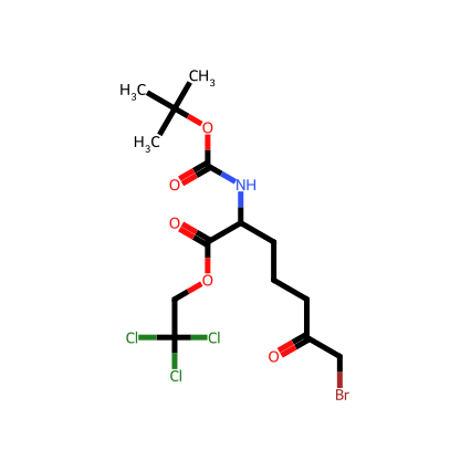 CC(C)(C)OC(=O)NC(CCCC(=O)CBr)C(=O)OCC(Cl)(Cl)Cl